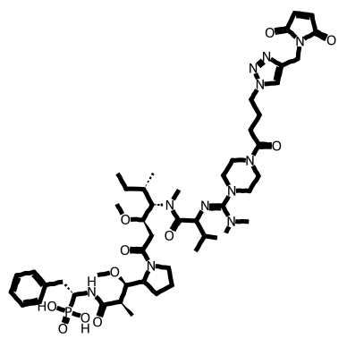 CC[C@H](C)[C@@H]([C@@H](CC(=O)N1CCCC1[C@H](OC)[C@@H](C)C(=O)N[C@@H](Cc1ccccc1)P(=O)(O)O)OC)N(C)C(=O)C(N=C(N(C)C)N1CCN(C(=O)CCCn2cc(CN3C(=O)C=CC3=O)nn2)CC1)C(C)C